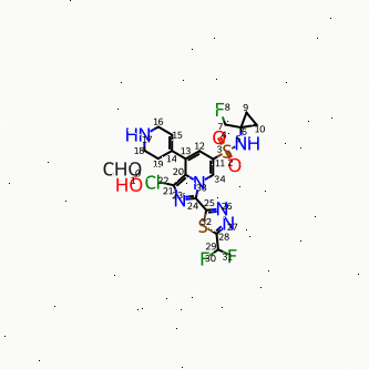 O=CO.O=S(=O)(NC1(CF)CC1)c1cc(C2=CCNCC2)c2c(Cl)nc(-c3nnc(C(F)F)s3)n2c1